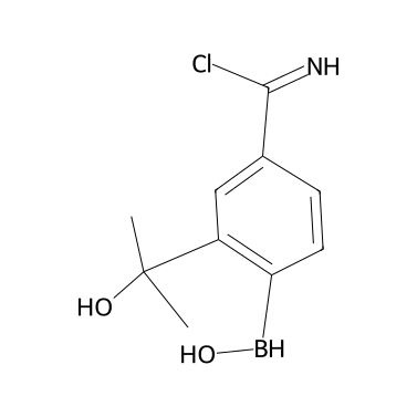 CC(C)(O)c1cc(C(=N)Cl)ccc1BO